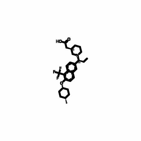 CC[C@@H](c1ccc2c(C(F)(F)F)c(O[C@H]3CC[C@@H](C)CC3)ccc2c1)N1CCC[C@H](CC(=O)O)C1